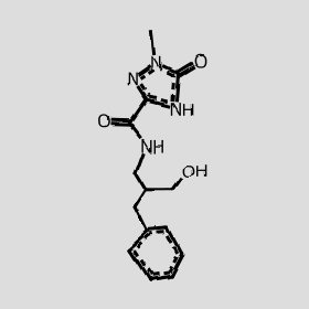 Cn1nc(C(=O)NCC(CO)Cc2ccccc2)[nH]c1=O